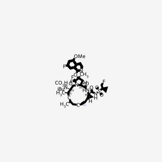 CCC(C)N(C(=O)O)[C@@H]1C(=O)N2[C@@H](C[C@@](C)(Oc3nccc4c(OC)cc(F)cc34)C2(F)F)C(=O)N[C@]2(C(=O)NS(=O)(=O)C3(CF)CC3)C[C@H]2/C=C\CC[C@@H](C)C[C@H]1C